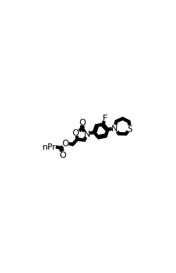 CCCC(=O)OCC1CN(c2ccc(N3CCCSCC3)c(F)c2)C(=O)O1